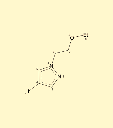 CCOCCn1cc(I)cn1